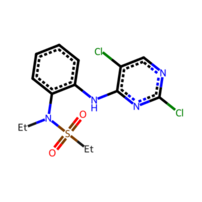 CCN(c1ccccc1Nc1nc(Cl)ncc1Cl)S(=O)(=O)CC